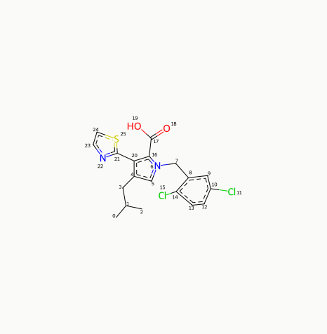 CC(C)Cc1cn(Cc2cc(Cl)ccc2Cl)c(C(=O)O)c1-c1nccs1